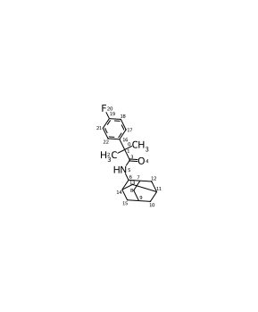 CC(C)(C(=O)NC1C2CC3CC(C2)CC1C3)c1ccc(F)cc1